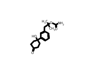 CC(C)(Cc1cccc(C2(O)CCC(=O)CC2)c1)OC(N)=O